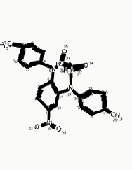 Cc1ccc(N(c2ccc([N+](=O)[O-])cc2N(c2ccc(C)cc2)[SH](=O)=O)[SH](=O)=O)cc1